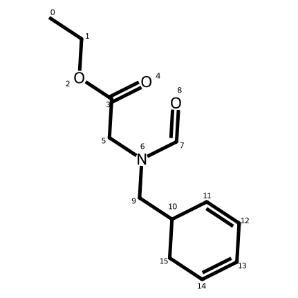 CCOC(=O)CN(C=O)CC1C=CC=CC1